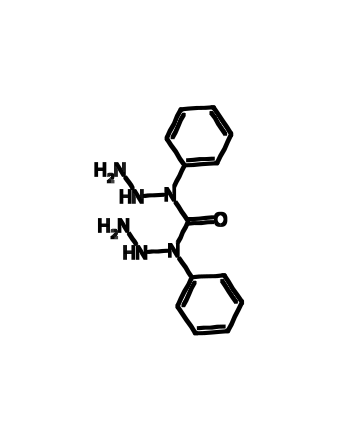 NNN(C(=O)N(NN)c1ccccc1)c1ccccc1